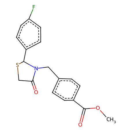 COC(=O)c1ccc(CN2C(=O)CSC2c2ccc(F)cc2)cc1